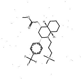 COC(=O)C[C@H]1C[C@@H](c2ccc(C(F)(F)F)cc2)N(CCC[Si](C)(C)C)[C@H]2CCCC[C@@H]12